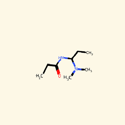 [CH2]CC(=O)NC(CC)N(C)C